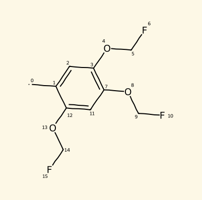 [CH2]c1cc(OCF)c(OCF)cc1OCF